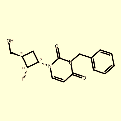 O=c1ccn([C@H]2C[C@H](CO)[C@H]2F)c(=O)n1Cc1ccccc1